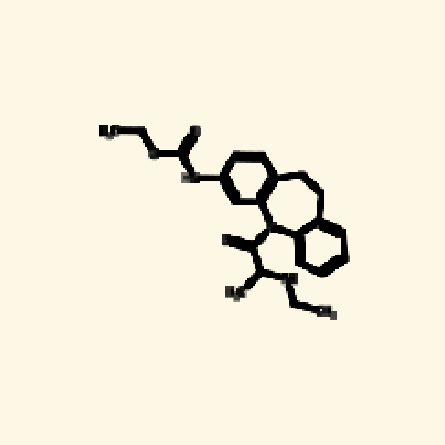 CCNC(C)C(=O)N1c2ccccc2CCc2ccc(NC(=O)OCC)cc21